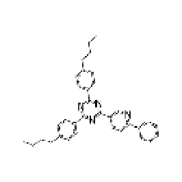 CCCCc1ccc(-c2nc(-c3ccc(CCCC)cc3)nc(-c3ccc(-c4ccccc4)nc3)n2)cc1